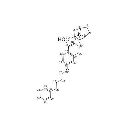 O=C(O)C1CC2CCC(C1)N2CC1=Cc2ccc(OCCCCc3ccccc3)cc2CC1